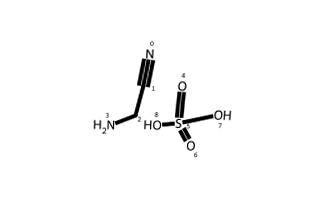 N#CCN.O=S(=O)(O)O